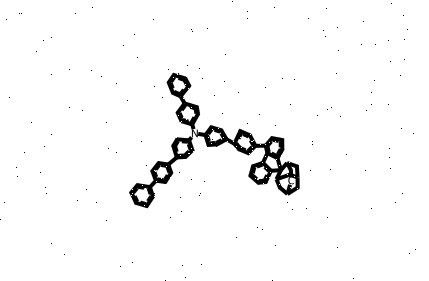 c1ccc(-c2ccc(-c3ccc(N(c4ccc(-c5ccccc5)cc4)c4ccc(-c5ccc(-c6cccc7c6-c6ccccc6C76C7CCC8CC(C7)CC6C8)cc5)cc4)cc3)cc2)cc1